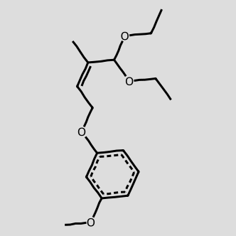 CCOC(OCC)C(C)=CCOc1cccc(OC)c1